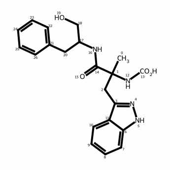 CC(Cc1n[nH]c2ccccc12)(NC(=O)O)C(=O)NC(CO)Cc1ccccc1